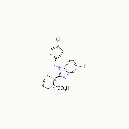 O=C(O)[C@H]1CC=CC[C@H]1c1nc2cc(F)ccc2n1Cc1ccc(Cl)cc1